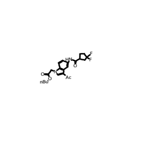 CCCCOC(=O)Cn1cc(C(C)=O)c2cc(NC(=O)C3CCC(F)(F)C3)ccc21